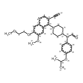 COCCOc1cc2ncc(C#N)c(N3CCN(N(C=O)c4ccc(OC(C)C)cc4)CC3)c2cc1OC